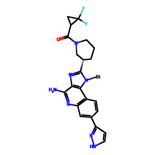 CCn1c([C@H]2CCCN(C(=O)C3CC3(F)F)C2)nc2c(N)nc3cc(-c4cc[nH]n4)ccc3c21